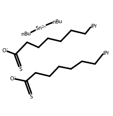 CC(C)CCCCCCC([O-])=S.CC(C)CCCCCCC([O-])=S.CCC[CH2][Sn+2][CH2]CCC